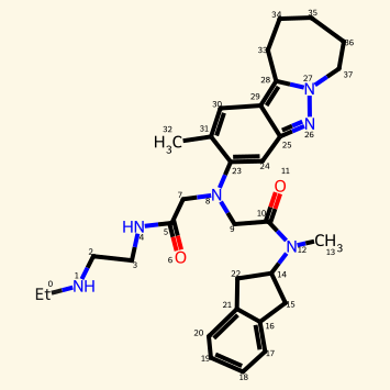 CCNCCNC(=O)CN(CC(=O)N(C)C1Cc2ccccc2C1)c1cc2nn3c(c2cc1C)CCCCC3